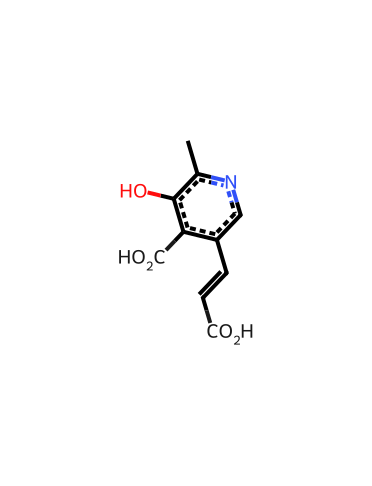 Cc1ncc(C=CC(=O)O)c(C(=O)O)c1O